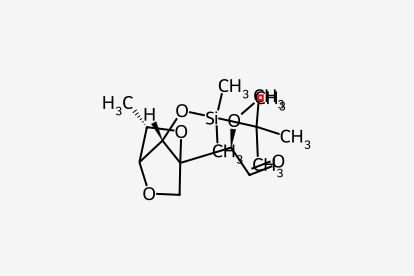 CO[C@@H](C=O)C12COC([C@H](C)O1)[C@@H]2O[Si](C)(C)C(C)(C)C